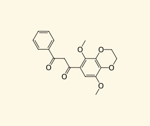 COc1cc(C(=O)CC(=O)c2ccccc2)c(OC)c2c1OCCO2